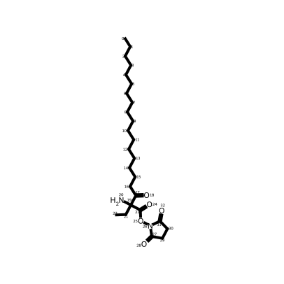 CCCCCCCCCCCCCCCCCC(=O)C(N)(CC)C(=O)ON1C(=O)CCC1=O